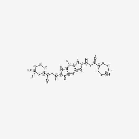 Cc1c2nc(NCC(=O)N3CCCNCC3)sc2cc2sc(NCC(=O)N3CCCC(F)(F)C3)nc12